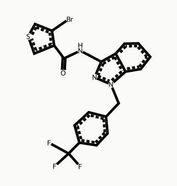 O=C(Nc1nn(Cc2ccc(C(F)(F)F)cc2)c2ccccc12)c1cscc1Br